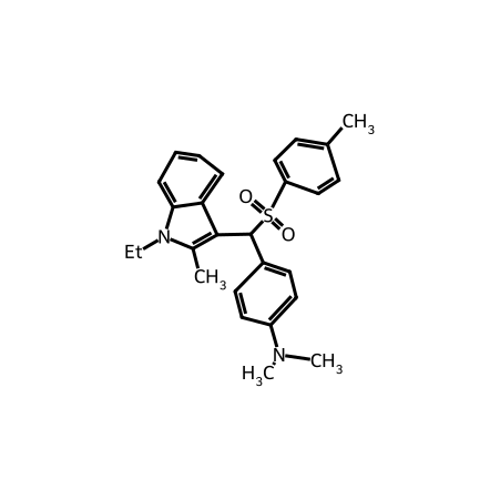 CCn1c(C)c(C(c2ccc(N(C)C)cc2)S(=O)(=O)c2ccc(C)cc2)c2ccccc21